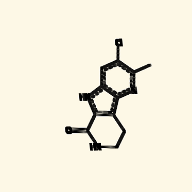 Cc1nc2c3c([nH]c2cc1Cl)C(=O)NCC3